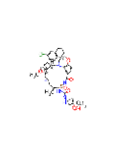 CO[C@H]1/C=C/C[C@H](C)CS(=O)(NC(=O)N[C@H]2C[C@](C)(O)C2)=NC(=O)c2ccc3c(c2)N(C[C@@H]2CC[C@H]21)C[C@@]1(CCCc2cc(Cl)ccc21)CO3